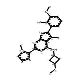 COc1cccc(-c2sc3nc(-c4nccn4C)nc(NC4CC(OC)C4)c3c2C)c1F